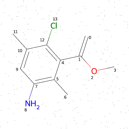 C=C(OC)c1c(C)c(N)cc(C)c1Cl